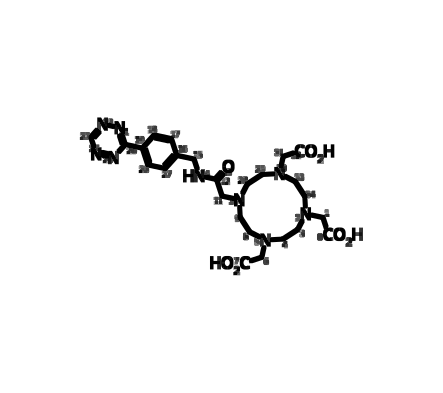 O=C(O)CN1CCN(CC(=O)O)CCN(CC(=O)NCc2ccc(-c3nncnn3)cc2)CCN(CC(=O)O)CC1